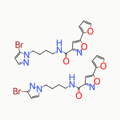 O=C(NCCCCn1ccc(Br)n1)c1cc(-c2ccco2)on1.O=C(NCCCCn1nccc1Br)c1cc(-c2ccco2)on1